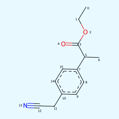 CCOC(=O)C(C)c1ccc(CC#N)cc1